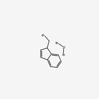 CC(C)C[C]1C=Cc2ccccc21.[Br][Zr][Br]